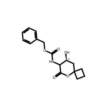 O=C(NC1C(=O)OC2(CCC2)C[C@@H]1O)OCc1ccccc1